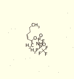 C=C(/C=C\CCC)OP(=O)(F)NP(=O)(P)C(F)(F)F